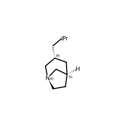 CC(C)C[C@@H]1C[C@H]2CC[N@](C2)C1